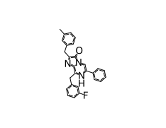 Cc1cccc(Cc2nc3c(Cc4cccc(F)c4)[nH]c(-c4ccccc4)cn-3c2=O)c1